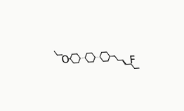 CCCO[C@H]1CC[C@H](C2CCC([C@H]3CC[C@H](CC/C=C/C(F)CC)CC3)CC2)CC1